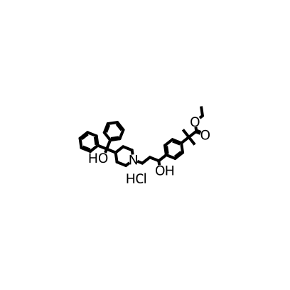 CCOC(=O)C(C)(C)c1ccc(C(O)CCN2CCC(C(O)(c3ccccc3)c3ccccc3)CC2)cc1.Cl